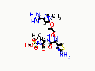 C[C@H]1[C@H](NC(=O)/C(=N\OCCOc2cc(C(=N)N)nn2C)c2csc(N)n2)C(=O)N1S(=O)(=O)O